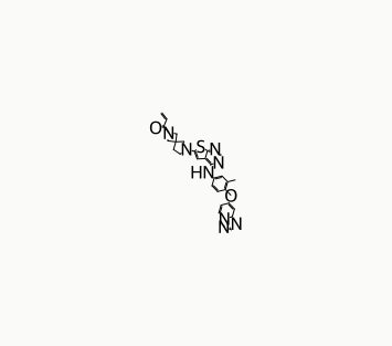 C=CC(=O)N1CC2(CCN(c3cc4c(Nc5ccc(Oc6ccn7ncnc7c6)c(C)c5)ncnc4s3)C2)C1